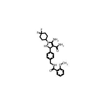 COc1ccccc1C(=O)NCc1ccc(C2NN(C3CCC(F)(F)CC3)C(N)=C2C(N)=O)cc1